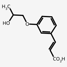 CC(O)COc1cccc(C=CC(=O)O)c1